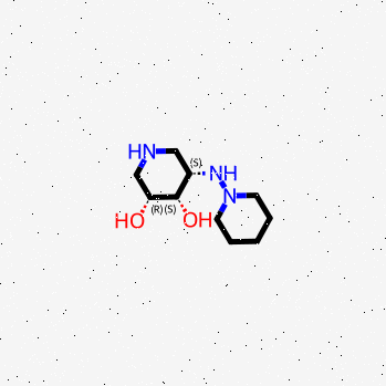 O[C@@H]1[C@H](O)CNC[C@@H]1NN1CCCCC1